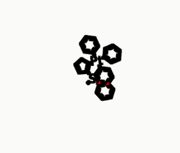 C[Si](C)(C1=[C]([Pt]([c]2ccccc2)([c]2ccccc2)[c]2ccccc2)CC=C1)c1ccccc1